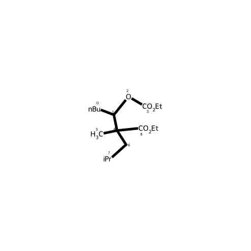 CCCCC(OC(=O)OCC)C(C)(CC(C)C)C(=O)OCC